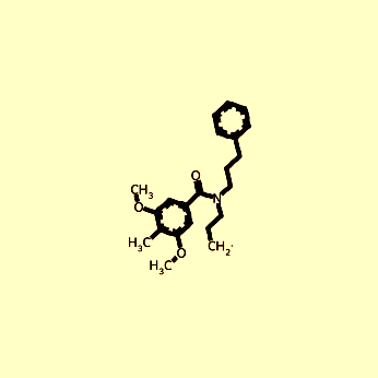 [CH2]CCN(CCCc1ccccc1)C(=O)c1cc(OC)c(C)c(OC)c1